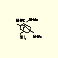 CC(=O)NCC12CC3(CN)CC(CNC(C)=O)(C1)CC(CNC(C)=O)(C3)C2